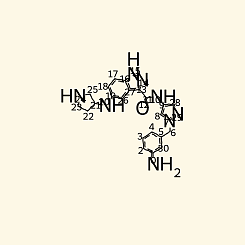 Nc1cccc(Cn2cc(NC(=O)c3n[nH]c4ccc(NC5CCNC5)cc34)cn2)c1